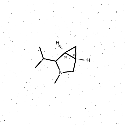 CC(C)C1[C@H]2C[C@H]2CN1C